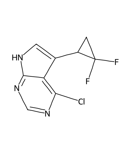 FC1(F)CC1c1c[nH]c2ncnc(Cl)c12